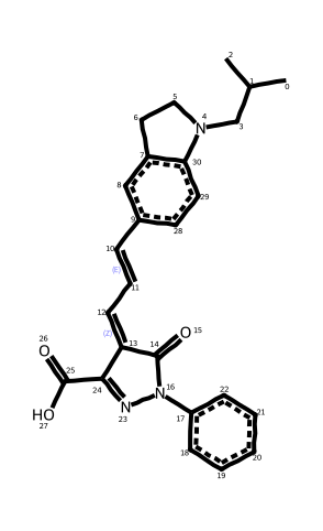 CC(C)CN1CCc2cc(/C=C/C=C3\C(=O)N(c4ccccc4)N=C3C(=O)O)ccc21